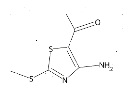 CSc1nc(N)c(C(C)=O)s1